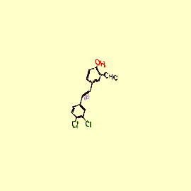 O=Cc1cc(/C=C/c2ccc(Cl)c(Cl)c2)ccc1O